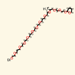 CCOCCOCCCOCCOCCOCCCOCCOCCOCCCOCCOC(C)COCCOCCOC1CCCCO1